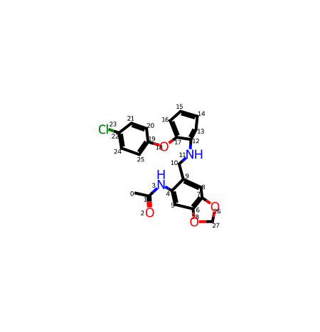 CC(=O)Nc1cc2c(cc1CNc1ccccc1Oc1ccc(Cl)cc1)OCO2